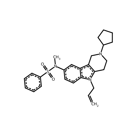 C=CCn1c2c(c3cc(N(C)S(=O)(=O)c4ccccc4)ccc31)CN(C1CCCC1)CC2